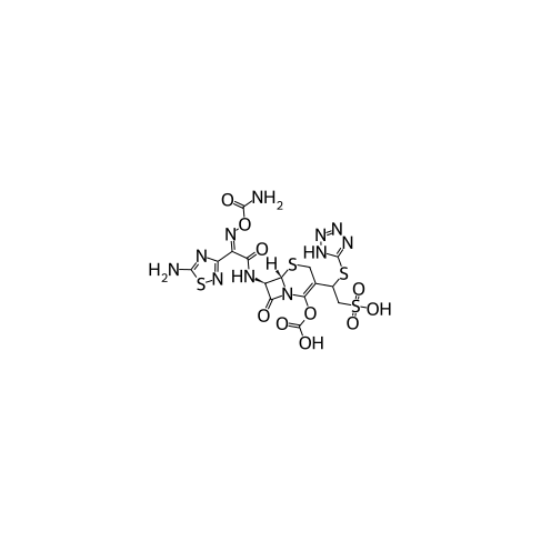 NC(=O)O/N=C(\C(=O)N[C@@H]1C(=O)N2C(OC(=O)O)=C(C(CS(=O)(=O)O)Sc3nnn[nH]3)CS[C@@H]12)c1nsc(N)n1